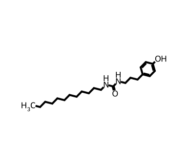 CCCCCCCCCCCCNC(=O)NCCCc1ccc(O)cc1